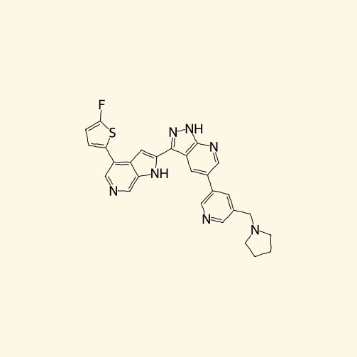 Fc1ccc(-c2cncc3[nH]c(-c4n[nH]c5ncc(-c6cncc(CN7CCCC7)c6)cc45)cc23)s1